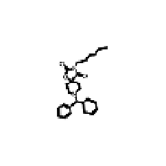 CCCCCCN1C(=O)OC2(CCN(C(c3ccccc3)c3ccccc3)CC2)C1=O